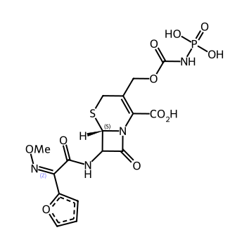 CO/N=C(\C(=O)NC1C(=O)N2C(C(=O)O)=C(COC(=O)NP(=O)(O)O)CS[C@@H]12)c1ccco1